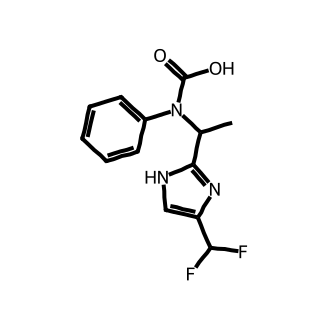 CC(c1nc(C(F)F)c[nH]1)N(C(=O)O)c1ccccc1